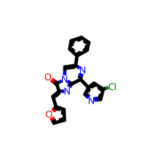 O=C1/C(=C/c2ccco2)N=C2C(c3cncc(Cl)c3)=NC(c3ccccc3)=CN12